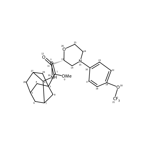 COC(=O)C12CC3CC(C1)C(NC(=O)[C@H]1CN(c4ccc(OC(F)(F)F)cc4)CCO1)C(C3)C2